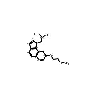 COCCO[C@H]1COc2ccc3cnn(C[C@H](C)N)c3c2C1